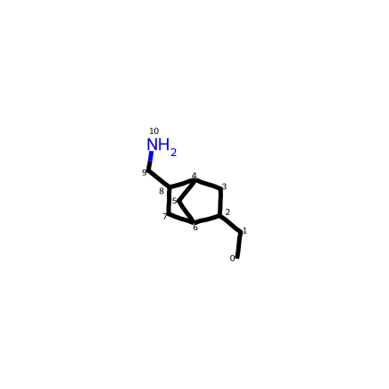 CCC1CC2CC1CC2CN